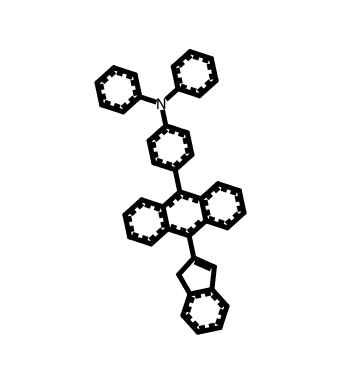 C1=C(c2c3ccccc3c(-c3ccc(N(c4ccccc4)c4ccccc4)cc3)c3ccccc23)Cc2ccccc21